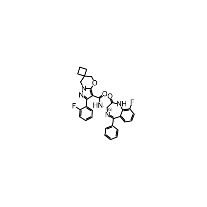 O=C(N[C@H]1N=C(c2ccccc2)c2cccc(F)c2NC1=O)c1c(-c2ccccc2F)nn2c1OCC1(CCC1)C2